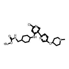 CN1CCC(Oc2ccc(-c3cnc(Cl)cc3NC3CCC(CNC(=O)OC(C)(C)C)CC3)nc2)CC1